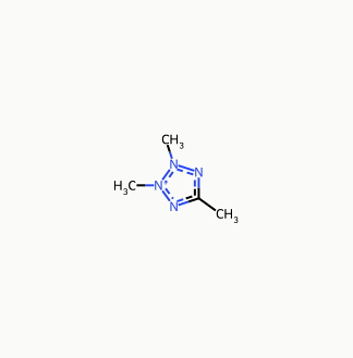 Cc1nn(C)[n+](C)n1